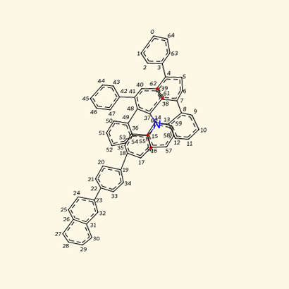 c1ccc(-c2ccc(-c3ccccc3N(c3ccc(-c4ccc(-c5ccc6ccccc6c5)cc4)cc3)c3cccc(-c4ccccc4)c3-c3ccccc3-c3ccccc3)cc2)cc1